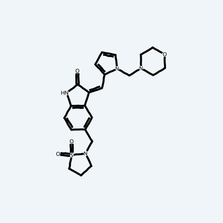 O=C1Nc2ccc(CN3CCCS3(=O)=O)cc2C1=Cc1cccn1CN1CCOCC1